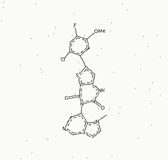 COc1cc(-c2cc3[nH]c(=O)n(-c4cncc5ccn(C)c45)c(=O)c3s2)c(Cl)cc1F